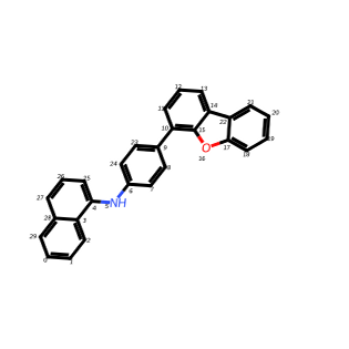 c1ccc2c(Nc3ccc(-c4cccc5c4oc4ccccc45)cc3)cccc2c1